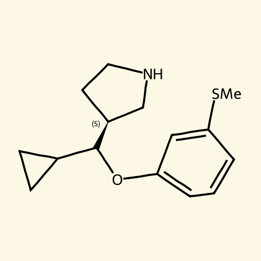 CSc1cccc(OC(C2CC2)[C@H]2CCNC2)c1